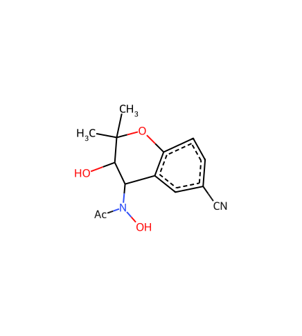 CC(=O)N(O)C1c2cc(C#N)ccc2OC(C)(C)C1O